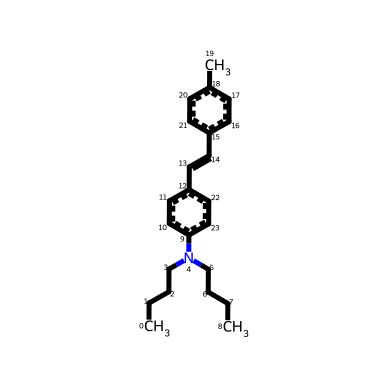 CCCCN(CCCC)c1ccc(/C=C/c2ccc(C)cc2)cc1